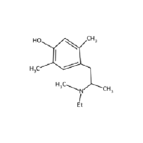 CCN(C)C(C)Cc1cc(C)c(O)cc1C